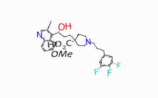 COc1ccc2ncc(C)c(C(O)CCC3(C(=O)O)CCN(CCCc4cc(F)c(F)c(F)c4)CC3)c2c1